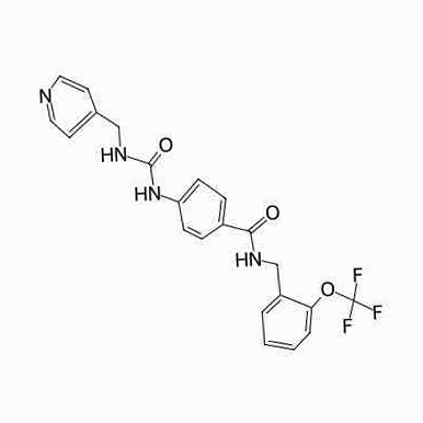 O=C(NCc1ccncc1)Nc1ccc(C(=O)NCc2ccccc2OC(F)(F)F)cc1